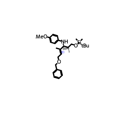 COc1ccc(N[C@H](/C(C)=C/COCc2ccccc2)[C@@H](C)CO[Si](C)(C)C(C)(C)C)cc1